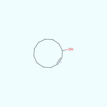 OC1/C=C\CCCCCCCCC1